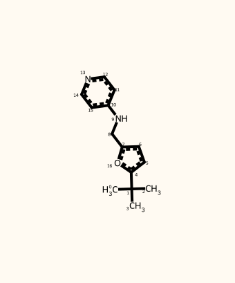 CC(C)(C)c1ccc(CNc2ccncc2)o1